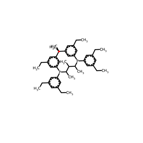 CCc1cc(CC)cc(P(c2cc(CC)cc(CC)c2)C(C)C(C)C(C)P(c2cc(CC)cc(CC)c2)c2cc(CC)cc(CC)c2)c1